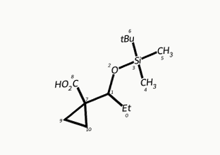 CCC(O[Si](C)(C)C(C)(C)C)C1(C(=O)O)CC1